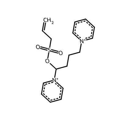 C=CCS(=O)(=O)OC(CCC[n+]1ccccc1)[n+]1ccccc1